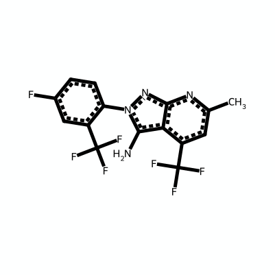 Cc1cc(C(F)(F)F)c2c(N)n(-c3ccc(F)cc3C(F)(F)F)nc2n1